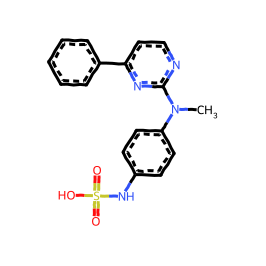 CN(c1ccc(NS(=O)(=O)O)cc1)c1nccc(-c2ccccc2)n1